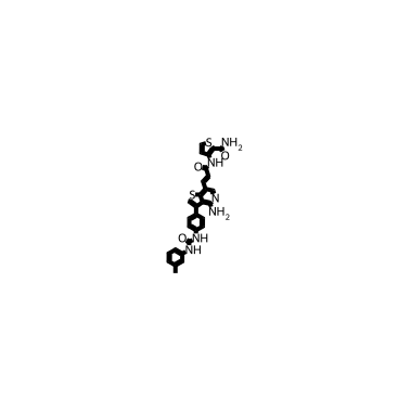 Cc1cccc(NC(=O)Nc2ccc(-c3csc4c(/C=C/C(=O)Nc5ccsc5C(N)=O)cnc(N)c34)cc2)c1